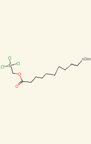 CCCCCCCCCCCCCCCCCCCC(=O)OC[Si](Cl)(Cl)Cl